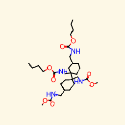 CCCCOC(=O)NCC1CCCC(CNC(=O)OCCCC)(C2(CNC(=O)OC)CCC(CNC(=O)OC)CC2)C1